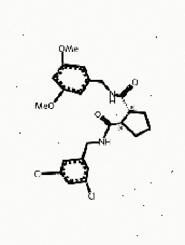 COc1cc(CNC(=O)[C@@H]2CCC[C@H]2C(=O)NCc2cc(Cl)cc(Cl)c2)cc(OC)c1